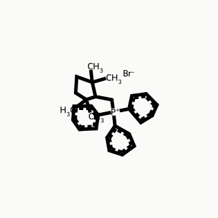 CC1(C)CCC(C)(C)C1C[P+](c1ccccc1)(c1ccccc1)c1ccccc1.[Br-]